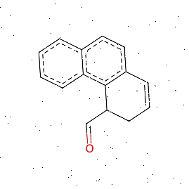 O=CC1CC=Cc2ccc3ccccc3c21